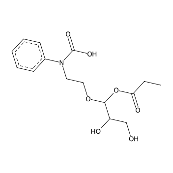 CCC(=O)OC(OCCN(C(=O)O)c1ccccc1)C(O)CO